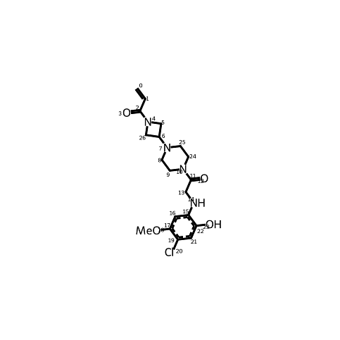 C=CC(=O)N1CC(N2CCN(C(=O)CNc3cc(OC)c(Cl)cc3O)CC2)C1